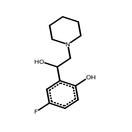 Oc1ccc(F)cc1C(O)CN1CCCCC1